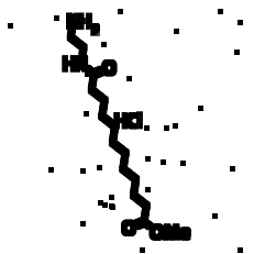 COC(=O)CCCCCCCCCCC(=O)NCCN.Cl